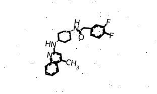 Cc1cc(N[C@H]2CC[C@@H](NC(=O)Cc3ccc(F)c(F)c3)CC2)nc2ccccc12